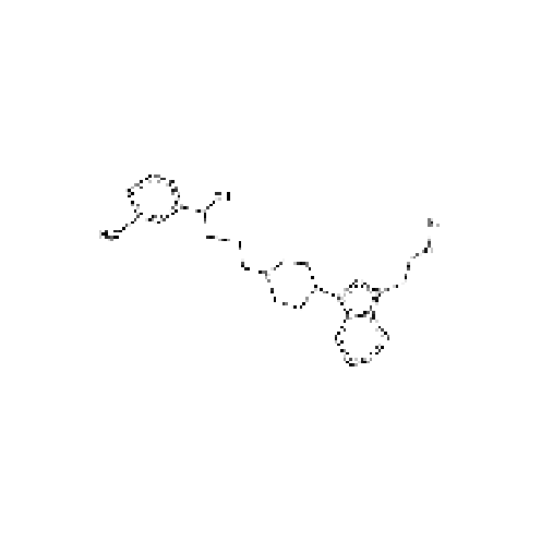 CCOCCn1cc(C2CCN(CCCC(O)c3cccc(C)c3)CC2)c2ccccc21